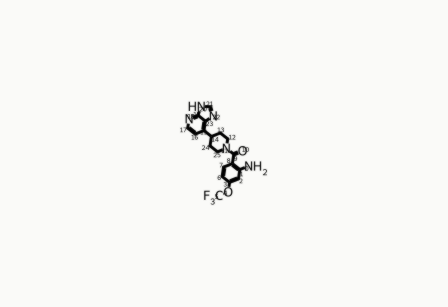 Nc1cc(OC(F)(F)F)ccc1C(=O)N1CCC(c2ccnc3[nH]cnc23)CC1